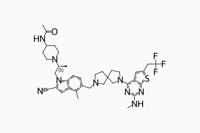 CNc1nc(N2CCC3(CCN(Cc4ccc5c(cc(C#N)n5C[C@H](C)N5CCC(NC(C)=O)CC5)c4C)C3)C2)c2cc(CC(F)(F)F)sc2n1